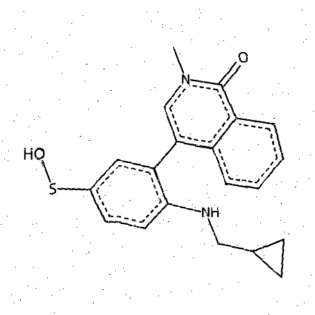 Cn1cc(-c2cc(SO)ccc2NCC2CC2)c2ccccc2c1=O